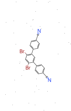 N#Cc1ccc(-c2cc(-c3ccc(C#N)cc3)c(Br)cc2Br)cc1